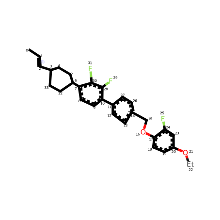 C/C=C/C1CCC(c2ccc(-c3ccc(COc4ccc(OCC)cc4F)cc3)c(F)c2F)CC1